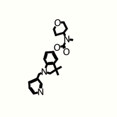 CN(C(=O)Oc1ccc2c(c1)C(C)(C)CN2Cc1cccnc1)C1CCOCC1